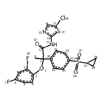 CC(Oc1ccc(F)cc1F)(C(=O)Nc1ncc(Cl)s1)c1ccc(S(=O)(=O)C2CC2)cc1